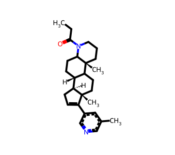 CCC(=O)N1CCC[C@]2(C)C3CC[C@]4(C)C(c5cncc(C)c5)=CC[C@H]4[C@@H]3CCC12